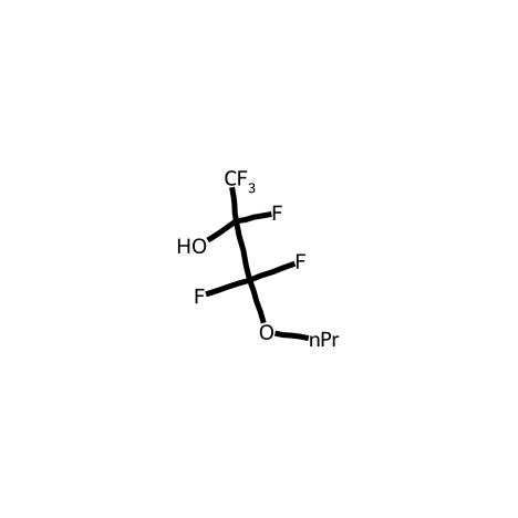 [CH2]CCOC(F)(F)C(O)(F)C(F)(F)F